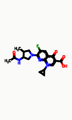 CC(=O)NC1CN(c2nc3c(cc2F)c(=O)c(C(=O)O)cn3C2CC2)CC1C